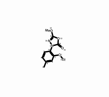 CCOc1cc(C)ccc1-n1nc(OC)oc1=O